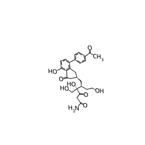 CC(=O)c1ccc(-c2ccc(O)c3c2C[C@@H](C[C@@H](CCO)[C@](O)(CO)C(=O)CC(N)=O)CC3=O)cc1